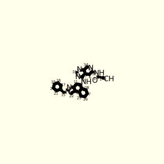 C#CC(=O)Nc1cc2c(Nc3cc4nn(Cc5ccccc5)cc4c4ccccc34)ncnc2cn1